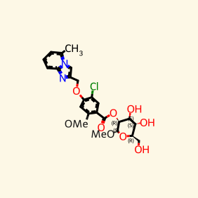 COc1cc(OCc2cn3c(C)cccc3n2)c(Cl)cc1C(=O)O[C@H]1[C@@H](OC)O[C@H](CO)[C@@H](O)[C@@H]1O